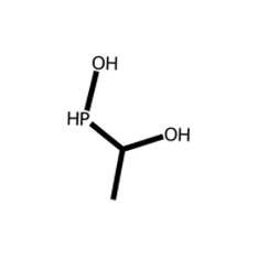 CC(O)PO